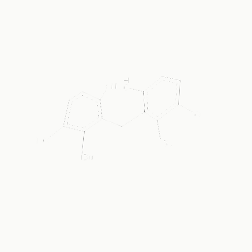 Cc1ccc(O)c(C(C)(C)C)c1Cc1c(C)ccc(O)c1C(C)(C)C